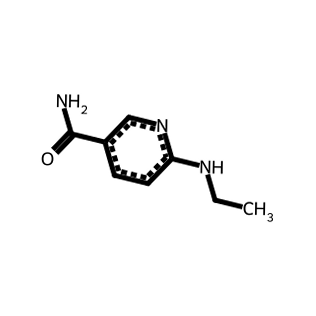 CCNc1ccc(C(N)=O)cn1